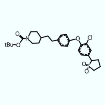 CC(C)(C)OC(=O)N1CCC(CCc2ccc(Oc3ccc(C4CCCS4(=O)=O)cc3Cl)cc2)CC1